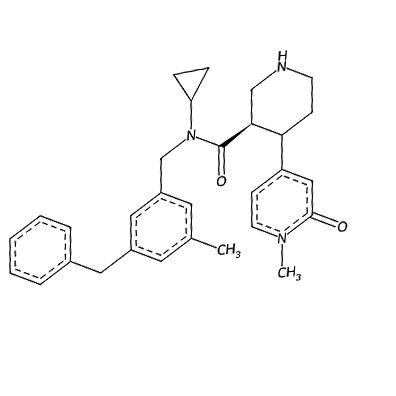 Cc1cc(Cc2ccccc2)cc(CN(C(=O)[C@H]2CNCCC2c2ccn(C)c(=O)c2)C2CC2)c1